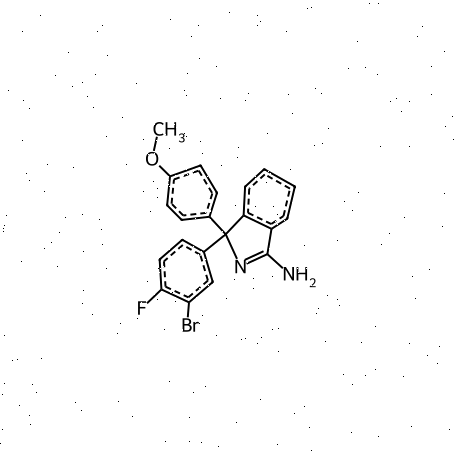 COc1ccc(C2(c3ccc(F)c(Br)c3)N=C(N)c3ccccc32)cc1